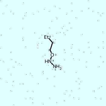 CCCCONN